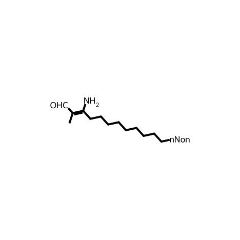 CCCCCCCCCCCCCCCCCCC(N)=C(C)C=O